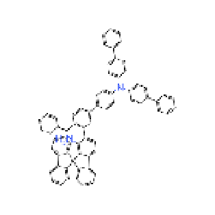 Nc1c(-c2cc(-c3ccc(N(c4ccc(-c5ccccc5)cc4)c4ccc(-c5ccccc5)cc4)cc3)ccc2CC2C=CC=CC2)ccc2c1C1(c3ccccc3-c3ccccc31)c1ccccc1-2